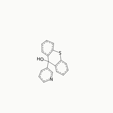 OC1(c2cccnc2)c2ccccc2Sc2ccccc21